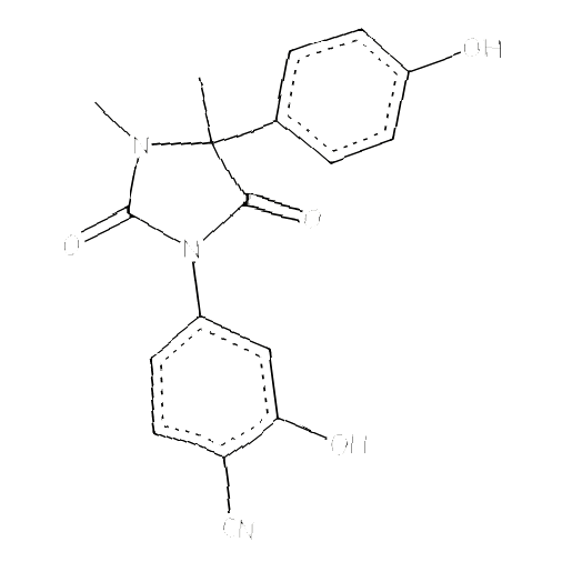 CN1C(=O)N(c2ccc(C#N)c(O)c2)C(=O)C1(C)c1ccc(O)cc1